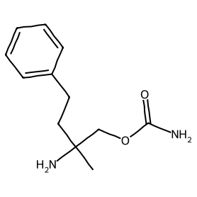 CC(N)(CCc1ccccc1)COC(N)=O